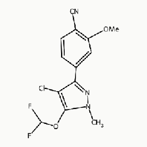 COc1cc(-c2nn(C)c(OC(F)F)c2Cl)ccc1C#N